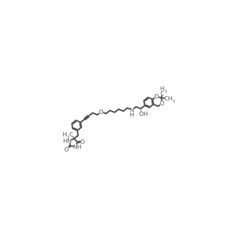 CC1(C)OCc2cc([C@H](O)CNCCCCCCOCCC#Cc3cccc(C[C@@]4(C)NC(=O)NC4=O)c3)ccc2O1